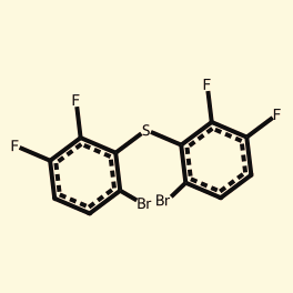 Fc1ccc(Br)c(Sc2c(Br)ccc(F)c2F)c1F